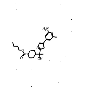 CCCCOC(=O)C1CCC(C(C)(O)c2ncc(-c3cc(C)cc(N)c3)s2)CC1